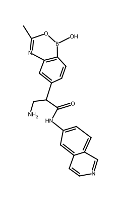 CC1=Nc2cc(C(CN)C(=O)Nc3ccc4cnccc4c3)ccc2B(O)O1